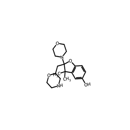 CC1(C)c2cc(O)ccc2OC1(CC1CNCCO1)N1CCOCC1